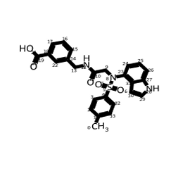 Cc1ccc(S(=O)(=O)N(CC(=O)NCc2cccc(C(=O)O)c2)c2cccc3[nH]ccc23)cc1